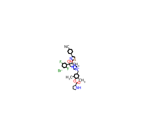 Cc1cc(C[n+]2cnn(C[C@](O)(c3cc(F)ccc3F)[C@@H](C)c3nc(-c4ccc(C#N)cc4)cs3)c2)cc(C)c1OC(=O)C1CCCN1.[Br-]